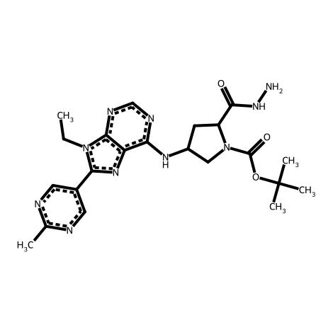 CCn1c(-c2cnc(C)nc2)nc2c(NC3CC(C(=O)NN)N(C(=O)OC(C)(C)C)C3)ncnc21